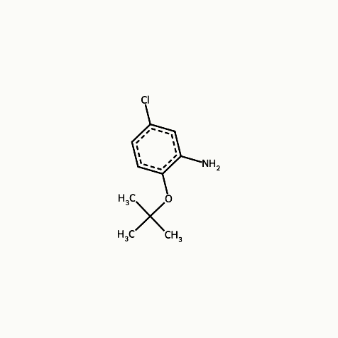 CC(C)(C)Oc1ccc(Cl)cc1N